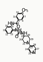 COc1ccc(C(=O)Nc2ccccc2NC(=O)NC2CCN(c3ccncc3)CC2)cc1